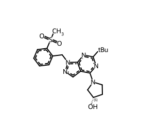 CC(C)(C)c1nc(N2CC[C@H](O)C2)c2cnn(Cc3ccccc3S(C)(=O)=O)c2n1